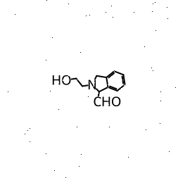 O=CC1c2ccccc2CN1CCO